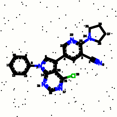 N#Cc1cc(-c2cn(-c3ccccc3)c3ncnc(Cl)c23)cnc1N1CCCC1